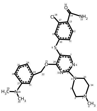 CN1CCN(c2ncc(Sc3ccc(C(N)=O)c(Cl)c3)c(OCc3cccc(N(C)C)c3)n2)CC1